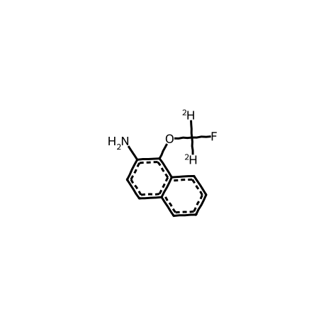 [2H]C([2H])(F)Oc1c(N)ccc2ccccc12